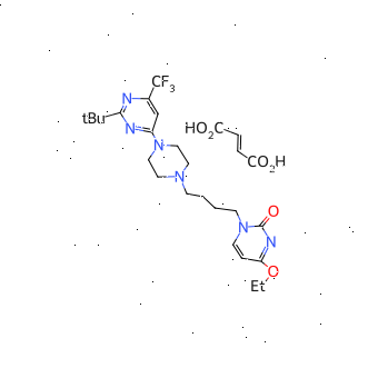 CCOc1ccn(CCCCN2CCN(c3cc(C(F)(F)F)nc(C(C)(C)C)n3)CC2)c(=O)n1.O=C(O)C=CC(=O)O